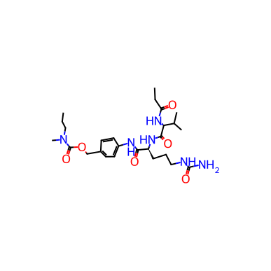 CCCN(C)C(=O)OCc1ccc(NC(=O)[C@H](CCCNC(N)=O)NC(=O)[C@@H](NC(=O)CC)C(C)C)cc1